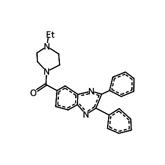 CCN1CCN(C(=O)c2ccc3nc(-c4ccccc4)c(-c4ccccc4)nc3c2)CC1